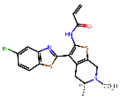 C=CC(=O)Nc1sc2c(c1-c1nc3cc(Br)ccc3s1)C[C@@H](C)N(C(=O)O)C2